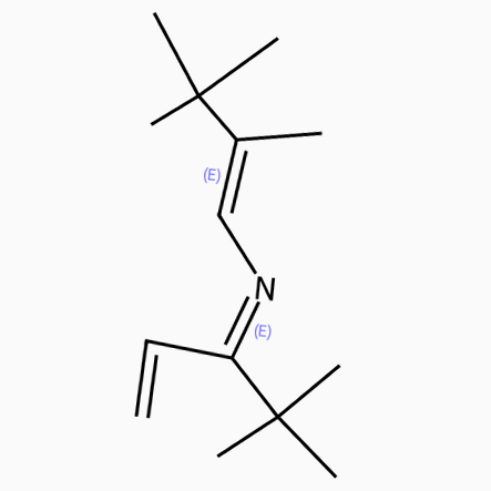 C=C/C(=N\C=C(/C)C(C)(C)C)C(C)(C)C